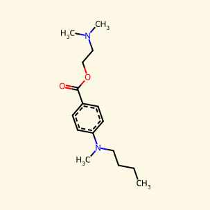 CCCCN(C)c1ccc(C(=O)OCCN(C)C)cc1